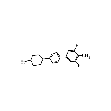 CCC1CCC(c2ccc(-c3cc(F)c(C)c(F)c3)cc2)CC1